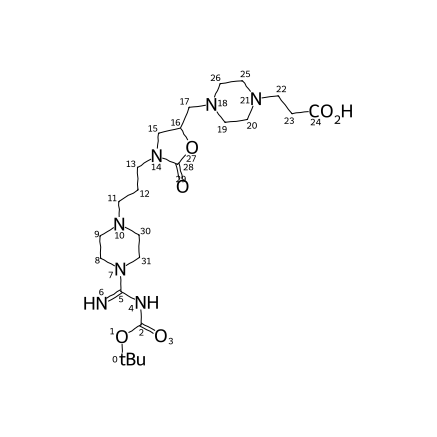 CC(C)(C)OC(=O)NC(=N)N1CCN(CCCN2CC(CN3CCN(CCC(=O)O)CC3)OC2=O)CC1